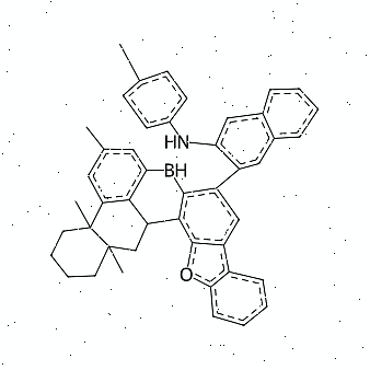 Cc1ccc(Nc2cc3ccccc3cc2-c2cc3c(oc4ccccc43)c3c2Bc2cc(C)cc4c2C3CC2(C)CCCCC42C)cc1